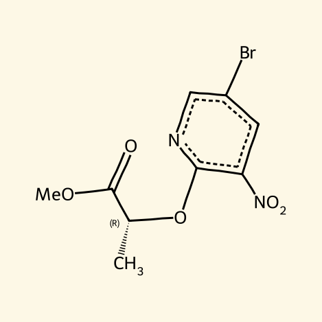 COC(=O)[C@@H](C)Oc1ncc(Br)cc1[N+](=O)[O-]